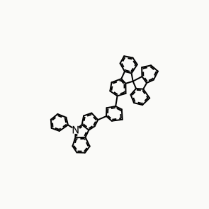 c1ccc(-n2c3ccccc3c3cc(-c4cccc(-c5ccc6c(c5)C5(c7ccccc7-c7ccccc75)c5ccccc5-6)c4)ccc32)cc1